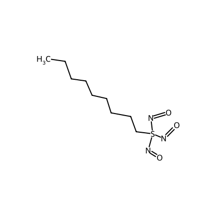 CCCCCCCCCS(N=O)(N=O)N=O